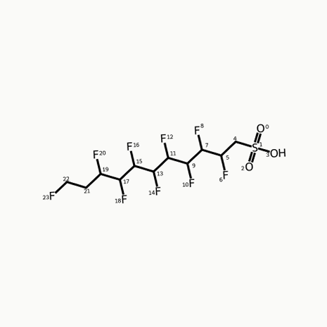 O=S(=O)(O)CC(F)C(F)C(F)C(F)C(F)C(F)C(F)C(F)CCF